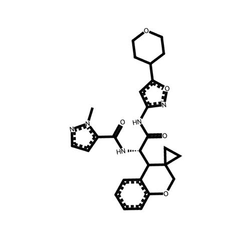 Cn1nccc1C(=O)N[C@H](C(=O)Nc1cc(C2CCOCC2)on1)C1c2ccccc2OCC12CC2